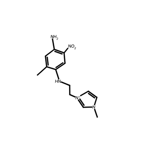 Cc1cc(N)c([N+](=O)[O-])cc1NCC[n+]1ccn(C)c1